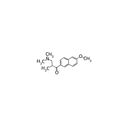 COc1ccc2cc(C(=O)C(C)CN(C)C)ccc2c1